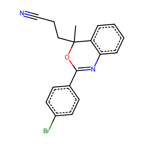 CC1(CCC#N)OC(c2ccc(Br)cc2)=Nc2ccccc21